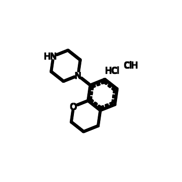 Cl.Cl.c1cc2c(c(N3CCNCC3)c1)OCCC2